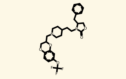 O=C1OCC(Cc2ccccc2)N1CCC1CCN(CC2COc3ccc(OC(F)(F)F)cc3O2)CC1